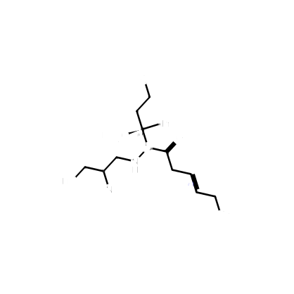 CC(C)C/C=C/CC(=O)N(NCC(N)CS)[C@@](CCO)(C(=O)O)C(C)C